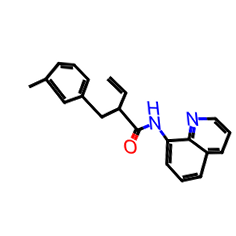 C=CC(Cc1cccc(C)c1)C(=O)Nc1cccc2cccnc12